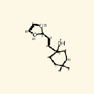 CC1(C)CCC(O)(C=CC2OC=CO2)CC1